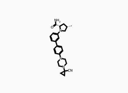 C[C@H]1C[C@@H](C(N)=O)N(c2cccc(-c3ccc(N4CCN(C5(C#N)CC5)CC4)cc3)c2)C1